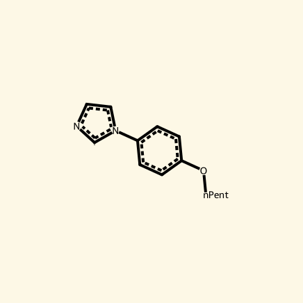 CCCCCOc1ccc(-n2[c]ncc2)cc1